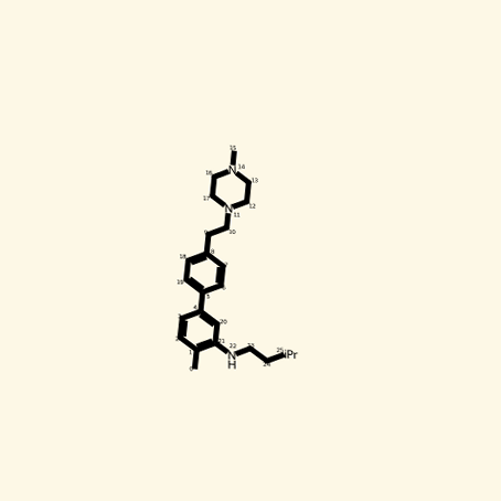 Cc1ccc(-c2ccc(CCN3CCN(C)CC3)cc2)cc1NCCC(C)C